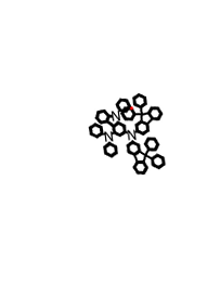 c1ccc(N(c2ccccc2)c2cc(N(c3ccc4c(c3)C(c3ccccc3)(c3ccccc3)c3ccccc3-4)c3ccc4c(c3)C(c3ccccc3)(c3ccccc3)c3ccccc3-4)cc3c2c2ccccc2n3-c2ccccc2)cc1